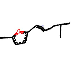 Cc1ccc(/C=C/CC(C)C)o1